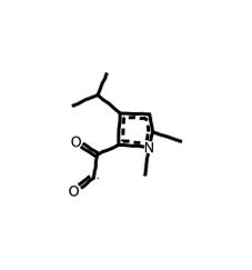 Cc1cc(C(C)C)c(C(=O)[C]=O)n1C